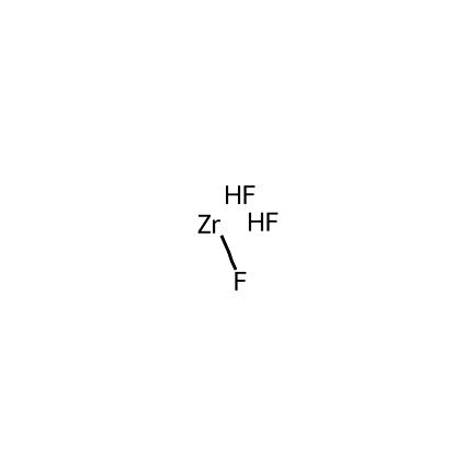 F.F.[F][Zr]